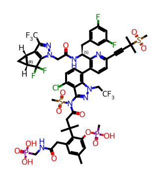 Cc1cc(CC(=O)NCP(=O)(O)O)c(C(C)(C)CC(=O)N(c2nn(CC(F)(F)F)c3c(-c4ccc(C#CC(C)(C)S(C)(=O)=O)nc4[C@H](Cc4cc(F)cc(F)c4)NC(=O)Cn4nc(C(F)(F)F)c5c4C(F)(F)[C@@H]4C[C@H]54)ccc(Cl)c23)S(C)(=O)=O)c(OP(C)(=O)O)c1